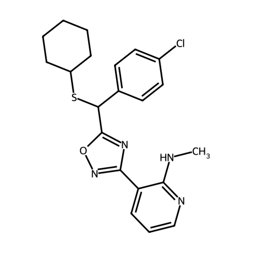 CNc1ncccc1-c1noc(C(SC2CCCCC2)c2ccc(Cl)cc2)n1